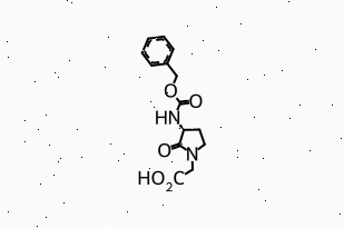 O=C(O)CN1CC[C@H](NC(=O)OCc2ccccc2)C1=O